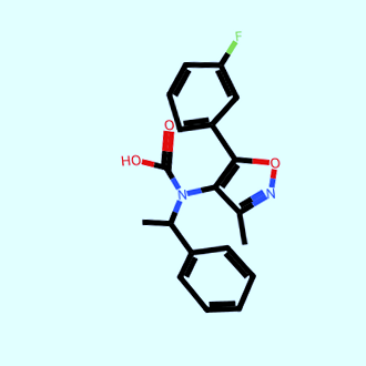 Cc1noc(-c2cccc(F)c2)c1N(C(=O)O)C(C)c1ccccc1